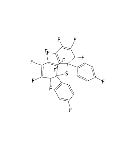 FC1=C(F)C(F)C(SC2(c3ccc(F)cc3)C(F)=C(F)C(F)=C(F)C2F)(c2ccc(F)cc2)C(F)=C1F